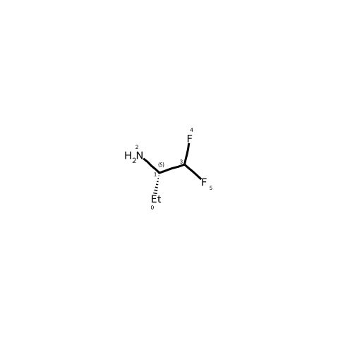 CC[C@H](N)C(F)F